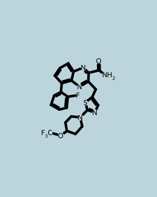 NC(=O)c1nc2cccc(-c3ccccc3F)c2nc1Cc1cnc(N2CCC(OC(F)(F)F)CC2)s1